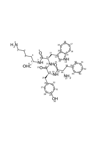 NCCCC[C@@H]([C]=O)NC(=O)[C@@H](Cc1c[nH]c2ccccc12)NC(=O)[C@H](Cc1ccc(O)cc1)NC(=O)[C@@H](N)Cc1ccccc1